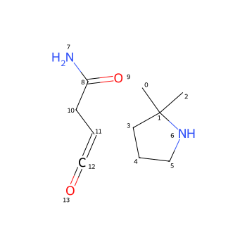 CC1(C)CCCN1.NC(=O)CC=C=O